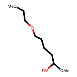 COCCOCCCCC(O)OC